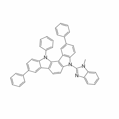 Cn1c(-n2c3ccc(-c4ccccc4)cc3c3c2ccc2c4cc(-c5ccccc5)ccc4n(-c4ccccc4)c23)nc2ccccc21